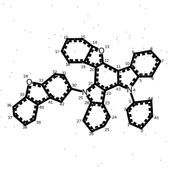 c1ccc(-n2c3ccccc3c3c4oc5ccccc5c4c4c(c5ccccc5n4-c4ccc5oc6ccccc6c5c4)c32)cc1